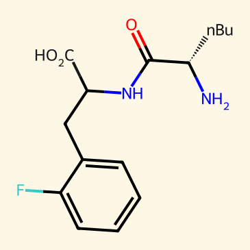 CCCC[C@H](N)C(=O)NC(Cc1ccccc1F)C(=O)O